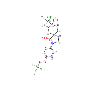 O=C1N(c2ccc(OCC(F)(F)F)nc2)CCC12CCC(O)(C(F)(F)F)CC2